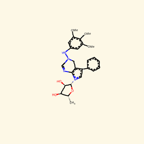 COc1cc(NN2C=Nc3c(c(-c4ccccc4)cn3[C@@H]3O[C@H](C)[C@@H](O)[C@H]3O)C2)cc(OC)c1OC